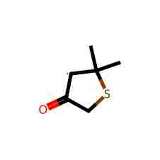 CC1(C)[CH]C(=O)CS1